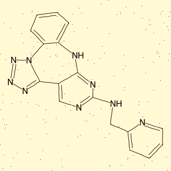 c1ccc(CNc2ncc3c(n2)Nc2ccccc2-n2nnnc2-3)nc1